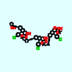 Cc1cc2ccc(C#CC3CC3CC(C)(C)OC(C(=O)O)c3c(C)cc4ccc(C#CC5CCC(CC(C)(C)OC(C(=O)O)c6c(C)cc7ccc(C#CC8(O)CCCC8)cc7c6-c6ccc(Cl)cc6)C5)cc4c3-c3ccc(Cl)cc3)cc2c(-c2ccc(Cl)cc2)c1C(OC(C)(C)C)C(=O)O